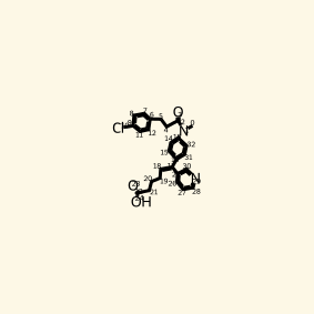 CN(C(=O)CCc1ccc(Cl)cc1)c1ccc(C(=CCCCC(=O)O)c2cccnc2)cc1